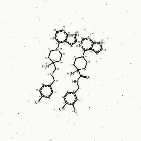 NC1(C(=O)NCc2ccc(Cl)c(Cl)c2)CCN(c2ncnc3[nH]ccc23)CC1.NC1(COCc2ccc(Cl)cc2)CCN(c2ncnc3[nH]ccc23)CC1